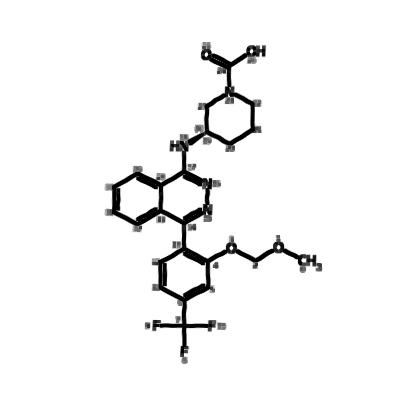 COCOc1cc(C(F)(F)F)ccc1-c1nnc(N[C@@H]2CCCN(C(=O)O)C2)c2ccccc12